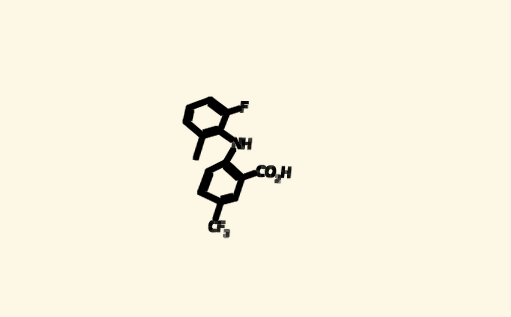 Cc1cccc(F)c1Nc1ccc(C(F)(F)F)cc1C(=O)O